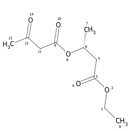 CCOC(=O)C[C@@H](C)OC(=O)CC(C)=O